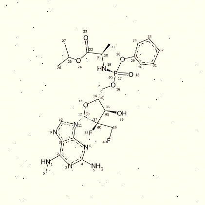 CNc1nc(N)nc2c1ncn2[C@@H]1O[C@H](CO[P@](=O)(N[C@H](C)C(=O)OC(C)C)Oc2ccccc2)[C@@H](O)[C@]1(F)CF